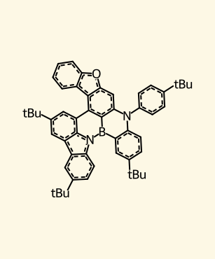 CC(C)(C)c1ccc(N2c3ccc(C(C)(C)C)cc3B3c4c2cc2oc5ccccc5c2c4-c2cc(C(C)(C)C)cc4c5cc(C(C)(C)C)ccc5n3c24)cc1